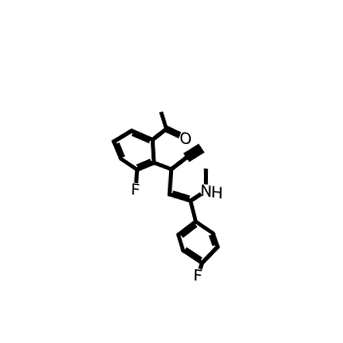 C#CC(/C=C(\NC)c1ccc(F)cc1)c1c(F)cccc1C(C)=O